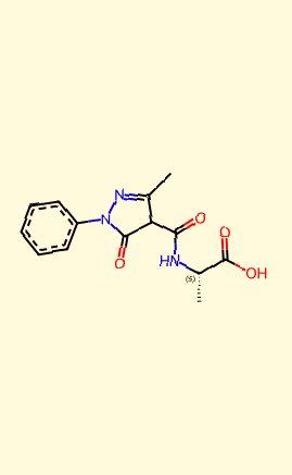 CC1=NN(c2ccccc2)C(=O)C1C(=O)N[C@@H](C)C(=O)O